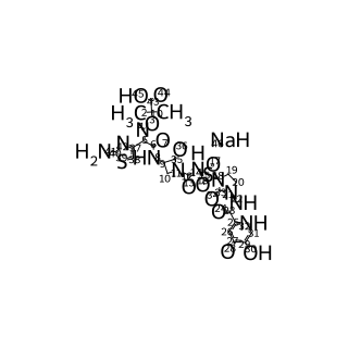 CC(C)(O/N=C(\C(=O)NC1CN(C(=O)NS(=O)(=O)N2CCN(NC(=O)c3cc(=O)c(O)c[nH]3)C2=O)C1=O)c1csc(N)n1)C(=O)O.[NaH]